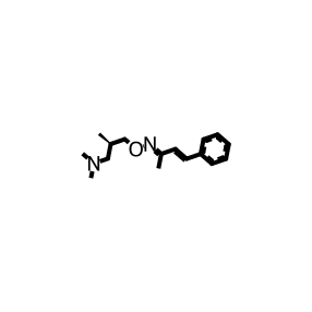 CC(/C=C/c1ccccc1)=N\OC[C@H](C)CN(C)C